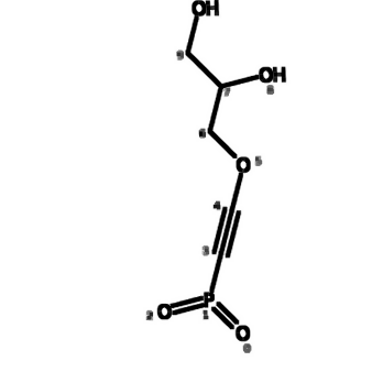 O=P(=O)C#COCC(O)CO